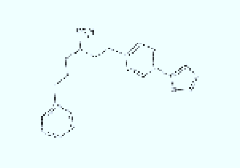 O=C(O)C(CCCc1ccccc1)CCc1ccc(-c2cccs2)cc1